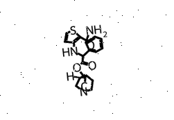 NC(=O)c1sccc1NC(C(=O)O[C@H]1CN2CCC1CC2)c1ccccc1